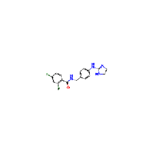 O=C(NCc1ccc(NC2=NCCN2)cc1)c1ccc(F)cc1F